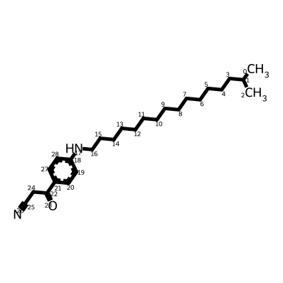 CC(C)CCCCCCCCCCCCCCNc1ccc(C(=O)CC#N)cc1